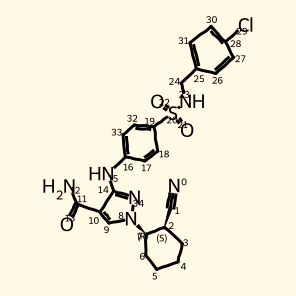 N#C[C@H]1CCCC[C@H]1n1cc(C(N)=O)c(Nc2ccc(S(=O)(=O)NCc3ccc(Cl)cc3)cc2)n1